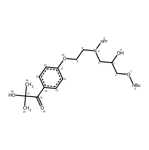 CCCCOCC(O)CN(CCC)CCOc1ccc(C(=O)C(C)(C)O)cc1